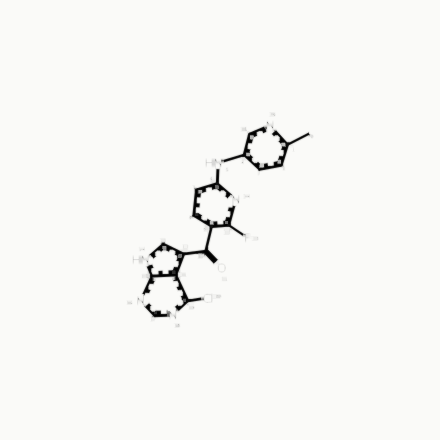 Cc1ccc(Nc2ccc(C(=O)c3c[nH]c4ncnc(Cl)c34)c(F)n2)cn1